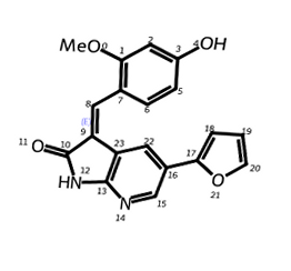 COc1cc(O)ccc1/C=C1/C(=O)Nc2ncc(-c3ccco3)cc21